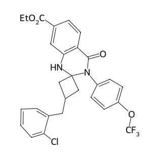 CCOC(=O)c1ccc2c(c1)NC1(CC(Cc3ccccc3Cl)C1)N(c1ccc(OC(F)(F)F)cc1)C2=O